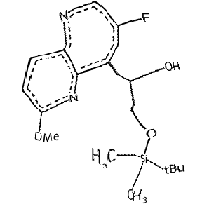 COc1ccc2ncc(F)c(C(O)CO[Si](C)(C)C(C)(C)C)c2n1